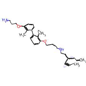 C=C/C=C(\C=C/C)CCNCCCOc1cccc(-c2cccc(OCCCN)c2C)c1C